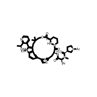 CCn1c(-c2cccnc2[C@H](C)OC)c2c3cc(ccc31)-c1csc(n1)C[C@H](NC(=O)[C@H](C(C)C)N(C)C(=O)[C@H]1CCN(C(C)=O)C1)C(=O)N1CCC[C@H](N1)C(=O)OCC(C)(C)C2